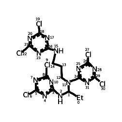 CCC(Nc1nc(Cl)nc(Cl)n1)N(CCCNc1nc(Cl)nc(Cl)n1)c1nc(Cl)nc(Cl)n1